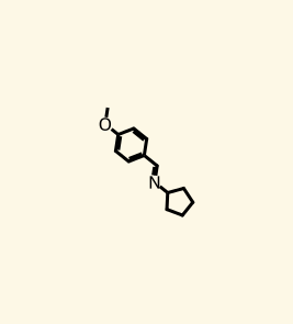 COc1ccc(C=NC2CCCC2)cc1